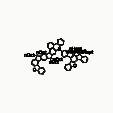 CCCCCCCCC1(CCCCCCCC)c2cc(N(c3ccc4c(c3)C(CCCCCCC)(CCCCCCC)c3c5c(c6oc7ccccc7c6c3-4)-c3ccccc3C5(CCCCCCC)CCCCCCC)c3ccccc3-c3ccccc3)ccc2-c2cc3c(cc21)-c1c(ccc2oc4ccccc4c12)C3(CCCCCCCC)CCCCCCCC